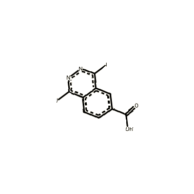 O=C(O)c1ccc2c(I)nnc(I)c2c1